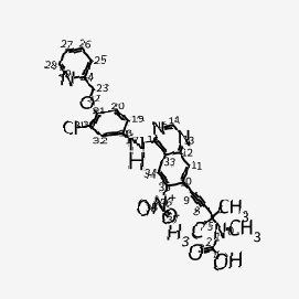 CN(C(=O)O)C(C)(C)C#Cc1cc2ncnc(Nc3ccc(OCc4ccccn4)c(Cl)c3)c2cc1[N+](=O)[O-]